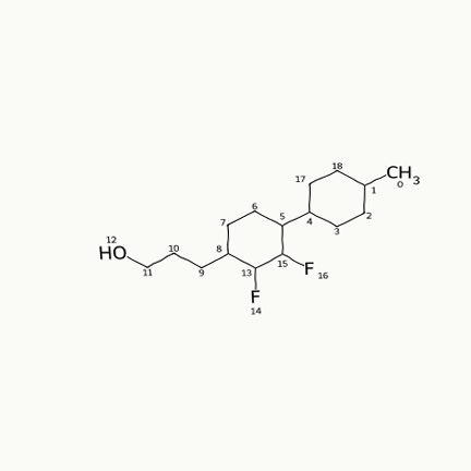 CC1CCC(C2CCC(CCCO)C(F)C2F)CC1